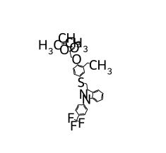 CCc1cc(SCc2nn(-c3ccc(C(F)(F)F)cc3)c3ccccc23)ccc1OCC(=O)OC(C)(C)C